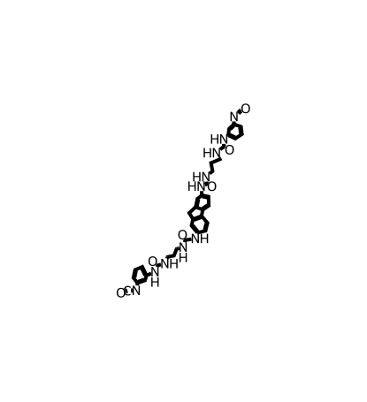 O=C=Nc1cccc(NC(=O)NCCCNC(=O)Nc2ccc3c(c2)Cc2cc(NC(=O)NCCCNC(=O)Nc4cccc(N=C=O)c4)ccc2-3)c1